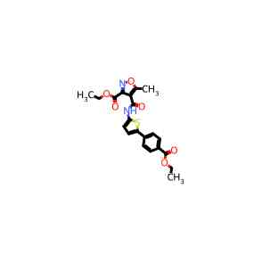 CCOC(=O)c1ccc(-c2ccc(NC(=O)c3c(C(=O)OCC)noc3C)s2)cc1